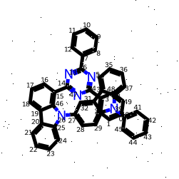 c1ccc(-c2nc(-c3ccccc3)nc(-c3cccc4c5ccccc5n(-c5ccc6c(c5)c5ccccc5n6-c5ccccc5)c34)n2)cc1